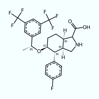 C[C@@H](O[C@H]1CC[C@H]2C(C(=O)O)NC[C@H]2[C@@H]1c1ccc(F)cc1)c1cc(C(F)(F)F)cc(C(F)(F)F)c1